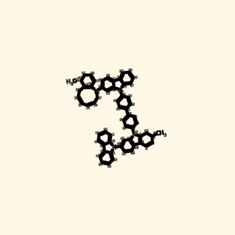 CC1C=Cc2c(n(-c3ccc(-c4ccc(-n5c6ccccc6c6ccc(N7C/C=C\C=C/CC8=C7C=CC[C@H]8C)cc65)cc4)cc3)c3cc(-n4c5ccccc5c5ccccc54)ccc23)C1